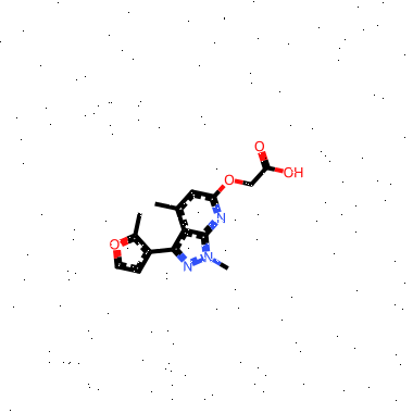 Cc1occc1-c1nn(C)c2nc(OCC(=O)O)cc(C)c12